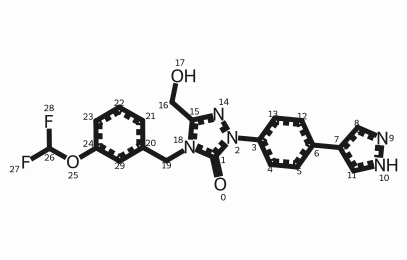 O=c1n(-c2ccc(-c3cn[nH]c3)cc2)nc(CO)n1Cc1cccc(OC(F)F)c1